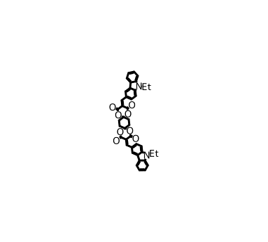 CCn1c2ccccc2c2cc(C=C3C(=O)OC4(CCC5(CC4)OC(=O)C(=Cc4ccc6c(c4)c4ccccc4n6CC)C(=O)O5)OC3=O)ccc21